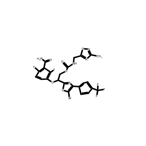 Cc1noc(CNC(=O)OCC(Oc2ccc(F)c(C(N)=O)c2F)c2nc(-c3ccc(C(F)(F)F)cc3)c(Br)o2)n1